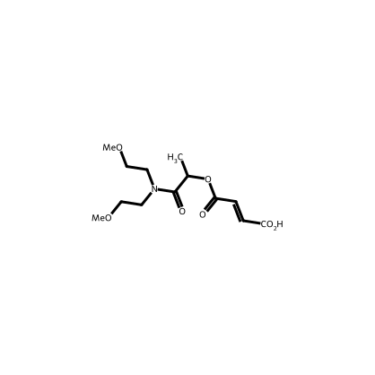 COCCN(CCOC)C(=O)C(C)OC(=O)/C=C/C(=O)O